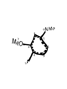 CNc1ccc(I)c(OC)c1